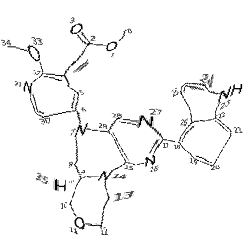 COC(=O)c1cc(N2C[C@@H]3COCCN3c3nc(-c4cccc5[nH]ccc45)ncc32)cnc1OC